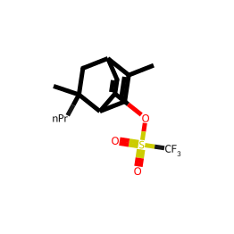 CCCC1(C)CC2C=C(OS(=O)(=O)C(F)(F)F)C1C=C2C